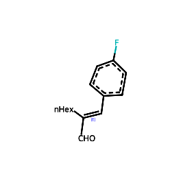 CCCCCC/C(C=O)=C\c1ccc(F)cc1